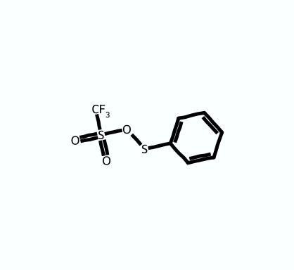 O=S(=O)(OSc1ccccc1)C(F)(F)F